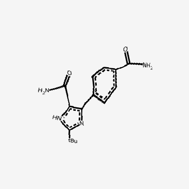 CC(C)(C)c1nc(-c2ccc(C(N)=O)cc2)c(C(N)=O)[nH]1